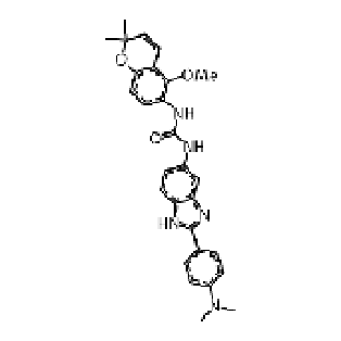 COc1c(NC(=O)Nc2ccc3[nH]c(-c4ccc(N(C)C)cc4)nc3c2)ccc2c1C=CC(C)(C)O2